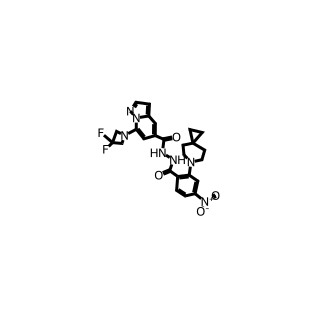 O=C(NNC(=O)c1ccc([N+](=O)[O-])cc1N1CCC2(CC1)CC2)c1cc(N2CC(F)(F)C2)n2nccc2c1